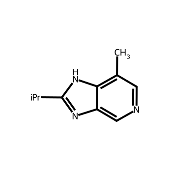 Cc1cncc2nc(C(C)C)[nH]c12